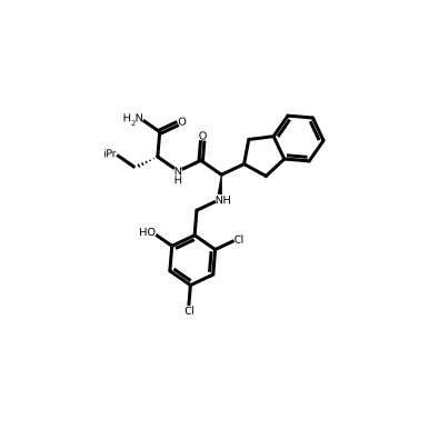 CC(C)C[C@@H](NC(=O)[C@H](NCc1c(O)cc(Cl)cc1Cl)C1Cc2ccccc2C1)C(N)=O